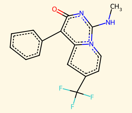 CNc1nc(=O)c(-c2ccccc2)c2cc(C(F)(F)F)ccn12